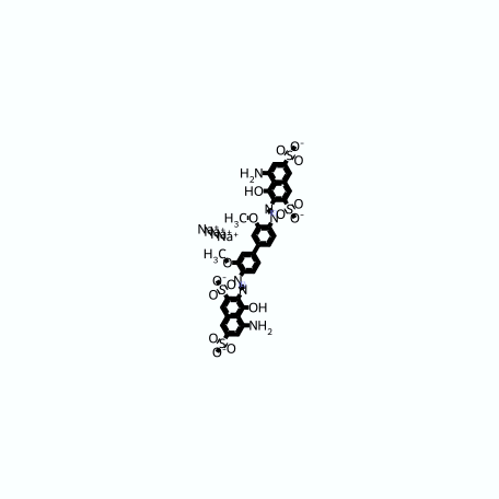 COc1cc(-c2ccc(/N=N/c3c(S(=O)(=O)[O-])cc4cc(S(=O)(=O)[O-])cc(N)c4c3O)c(OC)c2)ccc1/N=N/c1c(S(=O)(=O)[O-])cc2cc(S(=O)(=O)[O-])cc(N)c2c1O.[Na+].[Na+].[Na+].[Na+]